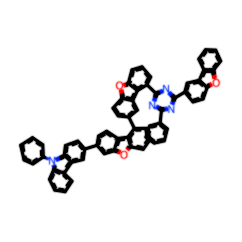 c1ccc(-c2nc(-c3ccc4oc5ccccc5c4c3)nc(-c3cccc4oc5ccc(-c6cccc7oc8cc(-c9ccc%10c(c9)c9ccccc9n%10-c9ccccc9)ccc8c67)cc5c34)n2)cc1